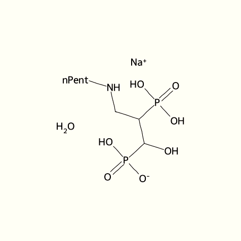 CCCCCNCC(C(O)P(=O)([O-])O)P(=O)(O)O.O.[Na+]